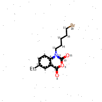 CCc1ccc2c(c1)c(=O)oc(=O)n2CCCCCBr